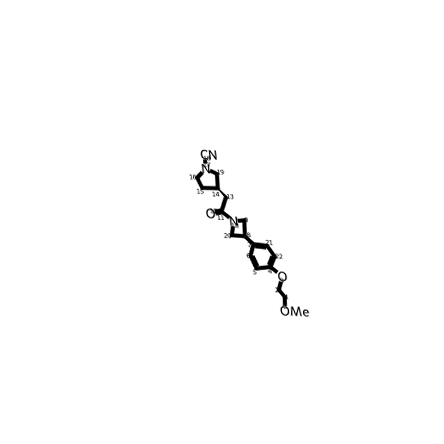 COCCOc1ccc(C2CN(C(=O)C[C@H]3CCN(C#N)C3)C2)cc1